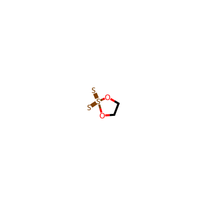 S=S1(=S)OCCO1